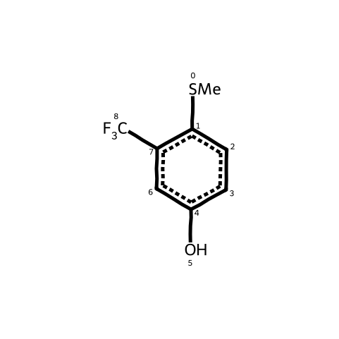 CSc1ccc(O)cc1C(F)(F)F